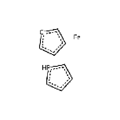 [Fe].c1cc[cH-]c1.c1cc[pH]c1